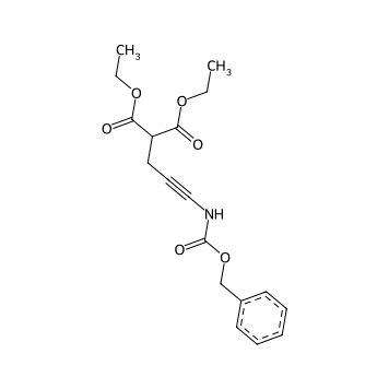 CCOC(=O)C(CC#CNC(=O)OCc1ccccc1)C(=O)OCC